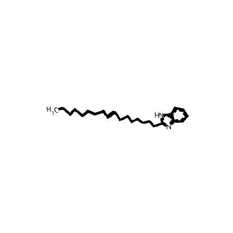 CCCCCCCC/C=C/CCCCCCCc1nc2ccccc2[nH]1